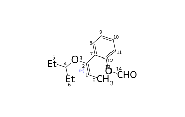 C/C=C(/OC(CC)CC)c1ccccc1OC=O